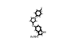 CC(=O)Nc1c[nH]c2ccc(OC3CCN(c4ccc(C)cc4)C3)cc12